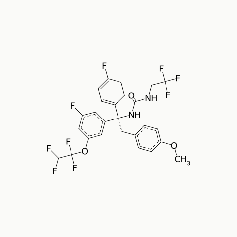 COc1ccc(C[C@@](NC(=O)NCC(F)(F)F)(C2=CC=C(F)CC2)c2cc(F)cc(OC(F)(F)C(F)F)c2)cc1